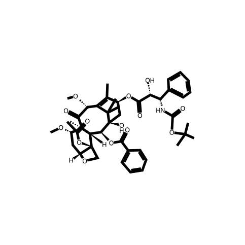 CO[C@H]1C(=O)[C@]2(C)[C@@H](OC)C[C@H]3OC[C@@]3(OC(C)=O)[C@H]2[C@H](OC(=O)c2ccccc2)[C@@]2(O)C[C@H](OC(=O)[C@H](O)[C@@H](NC(=O)OC(C)(C)C)c3ccccc3)C(C)=C1C2(C)C